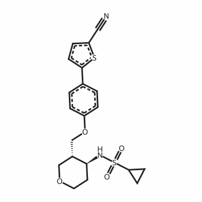 N#Cc1ccc(-c2ccc(OC[C@H]3COCC[C@@H]3NS(=O)(=O)C3CC3)cc2)s1